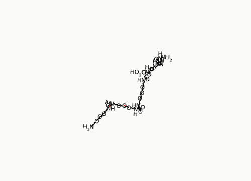 CC(=O)N(CCCOCCOCCOCCCNc1c(NCCCOCCOCCOCCCNC(=O)CCC(NC(=O)c2ccc(NCc3cnc4nc(N)[nH]c(=O)c4n3)cc2)C(=O)O)c(=O)c1=O)CC(=O)NCCCOCCOCCOCCCN